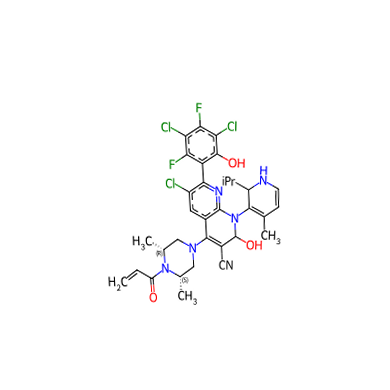 C=CC(=O)N1[C@H](C)CN(C2=C(C#N)C(O)N(C3=C(C)C=CNC3C(C)C)c3nc(-c4c(O)c(Cl)c(F)c(Cl)c4F)c(Cl)cc32)C[C@@H]1C